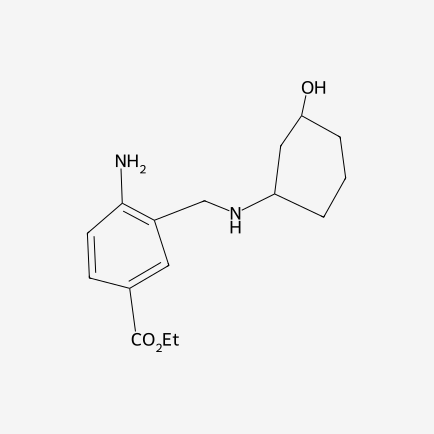 CCOC(=O)c1ccc(N)c(CNC2CCCC(O)C2)c1